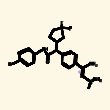 CN(N)/N=C(\N)c1ccc(C(C(=O)Nc2ccc(Br)cc2)C2CCC(F)(F)C2)cc1